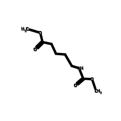 COC(=O)CCCCNC(=O)OC